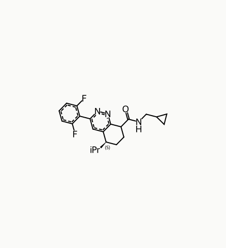 CC(C)[C@@H]1CCC(C(=O)NCC2CC2)c2nnc(-c3c(F)cccc3F)cc21